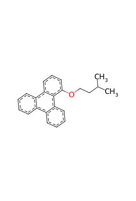 CC(C)CCOc1cccc2c3ccccc3c3ccccc3c12